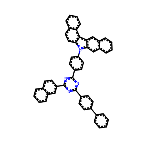 c1ccc(-c2ccc(-c3nc(-c4ccc(-n5c6cc7ccccc7cc6c6c7ccccc7ccc65)cc4)nc(-c4ccc5ccccc5c4)n3)cc2)cc1